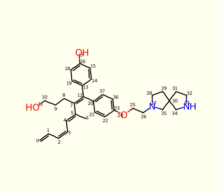 C=C\C=C/C=C(C)/C(CCCO)=C(/c1ccc(O)cc1)c1ccc(OCCN2CCC3(CCNC3)C2)cc1